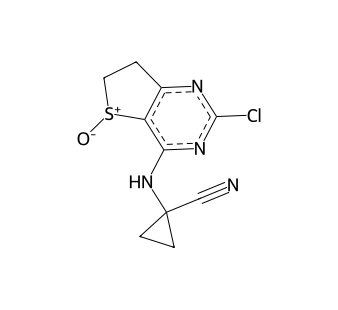 N#CC1(Nc2nc(Cl)nc3c2[S+]([O-])CC3)CC1